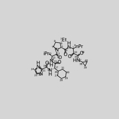 CCCC(NC(=O)[C@@H]1[C@@H](CC)CCN1C(=O)[C@@H](NC(=O)[C@@H](NC(=O)c1ncc[nH]1)C1CCCCC1)C(C)C)C(=O)C(=O)NC1CC1